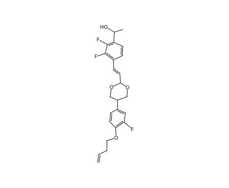 C=CCCOc1ccc(C2COC(/C=C/c3ccc(C(C)O)c(F)c3F)OC2)cc1F